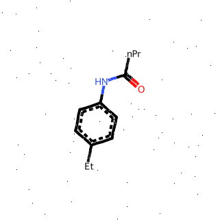 CCCC(=O)Nc1ccc(CC)cc1